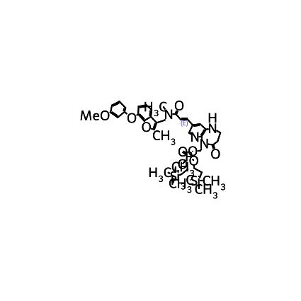 COc1cccc(Oc2cccc3c(CN(C)C(=O)/C=C/c4cnc5c(c4)NCCC(=O)N5COP(=O)(OCC[Si](C)(C)C)OCC[Si](C)(C)C)c(C)oc23)c1